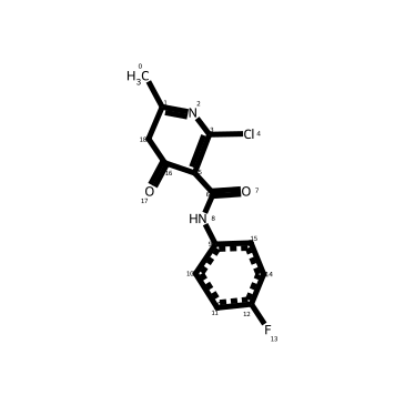 CC1=NC(Cl)=C(C(=O)Nc2ccc(F)cc2)C(=O)C1